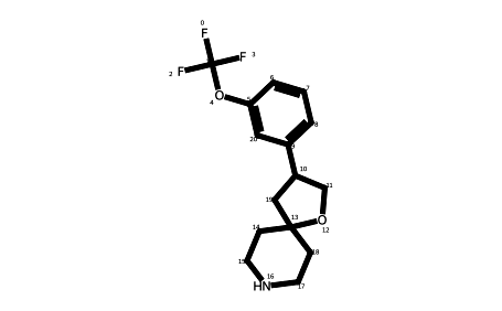 FC(F)(F)Oc1cccc(C2COC3(CCNCC3)C2)c1